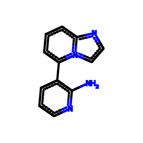 Nc1ncccc1-c1cccc2nccn12